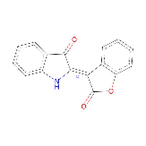 O=C1Oc2ccccc2/C1=C1/Nc2ccccc2C1=O